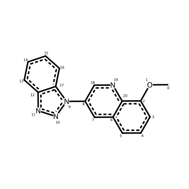 COc1cccc2cc(-n3nnc4ccccc43)cnc12